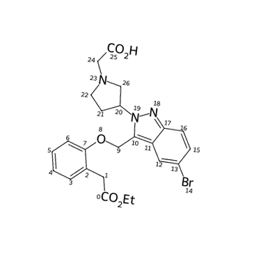 CCOC(=O)Cc1ccccc1OCc1c2cc(Br)ccc2nn1C1CCN(CC(=O)O)C1